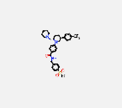 CCS(=O)(=O)c1ccc(CNC(=O)c2ccc(N3CC(c4ccc(C(F)(F)F)cc4)CC[C@H]3CN3CCCCC3)cc2)cc1